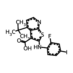 CC(C)(C)c1ccnc2sc(Nc3ccc(I)cc3F)c(C(=O)O)c12